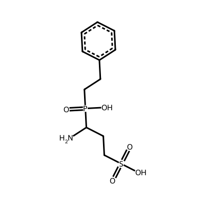 NC(CCS(=O)(=O)O)P(=O)(O)CCc1ccccc1